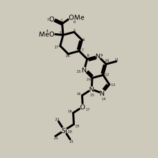 COC(=O)C1(OC)CC=C(c2nc(C)c3cnn(COCC[Si](C)(C)C)c3n2)CC1